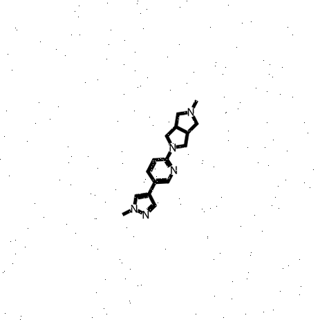 CN1CC2CN(c3ccc(-c4cnn(C)c4)cn3)CC2C1